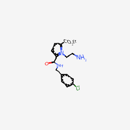 CCOC(=O)c1ccc(C(=O)NCc2ccc(Cl)cc2)n1CCN